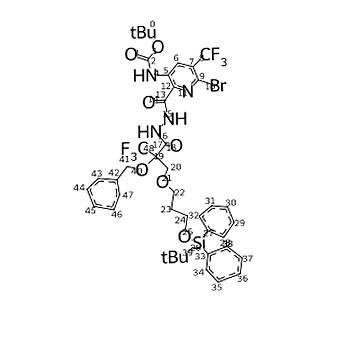 CC(C)(C)OC(=O)Nc1cc(C(F)(F)F)c(Br)nc1C(=O)NNC(=O)C(COCCCO[Si](c1ccccc1)(c1ccccc1)C(C)(C)C)(OCc1ccccc1)C(F)(F)F